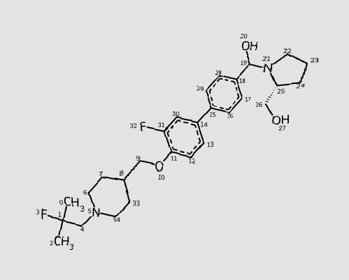 CC(C)(F)CN1CCC(COc2ccc(-c3ccc(C(O)N4CCC[C@@H]4CO)cc3)cc2F)CC1